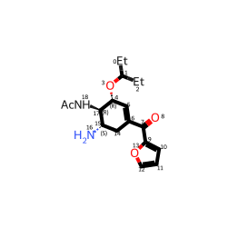 CCC(CC)O[C@@H]1C=C(C(=O)c2ccco2)C[C@H](N)[C@H]1NC(C)=O